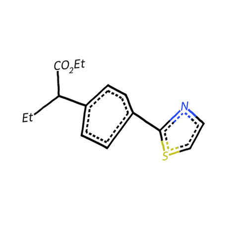 CCOC(=O)C(CC)c1ccc(-c2nccs2)cc1